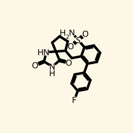 NS(=O)(=O)c1cccc(-c2ccc(F)cc2)c1CC1CCCC12NC(=O)NC2=O